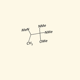 [CH2]OC(NC)(NC)C(C)NC